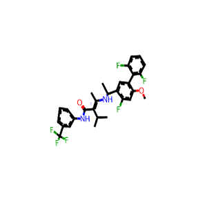 COc1cc(F)c(C(C)N/C(C)=C(/C(=O)Nc2cccc(C(F)(F)F)c2)C(C)C)cc1-c1c(F)cccc1F